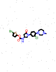 CN1CCCN(c2ccc(N3CC(NC(=O)Oc4ccc(Br)s4)CC3=O)cc2Cl)CC1